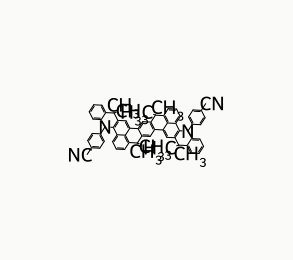 CC1(C)c2ccccc2N(c2ccc(C#N)cc2)c2c1cc1c3c(cccc23)C(C)(C)c2cc3c(cc2-1)C(C)(C)c1cccc2c4c(cc-3c12)C(C)(C)c1ccccc1N4c1ccc(C#N)cc1